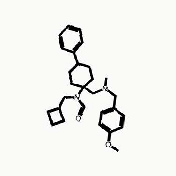 COc1ccc(CN(C)CC2(N(C=O)CC3CCC3)CCC(c3ccccc3)CC2)cc1